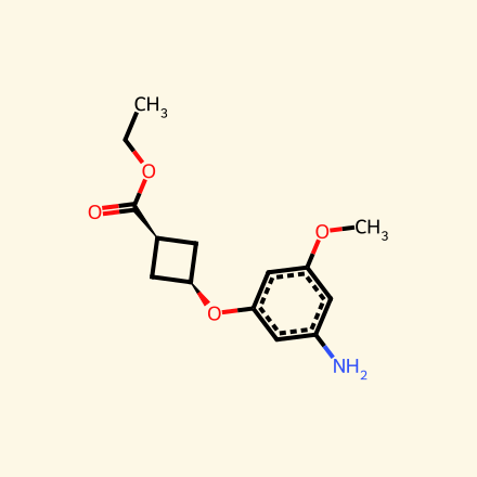 CCOC(=O)[C@H]1C[C@@H](Oc2cc(N)cc(OC)c2)C1